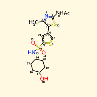 CC(=O)Nc1nc(C)c(-c2csc(S(=O)(=O)N[C@H]3CC[C@@H](O)CC3)c2)s1